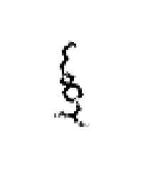 CCCCC(CCC)CN1CCC2(CC1)CN(CCCC(C)C)C2